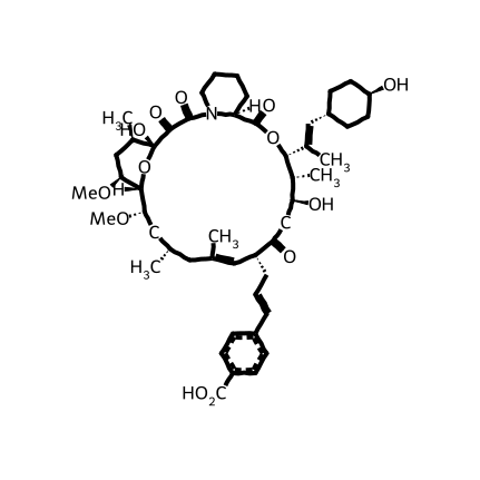 CO[C@H]1C[C@@H](C)C/C(C)=C/[C@@H](C/C=C/c2ccc(C(=O)O)cc2)C(=O)C[C@H](O)[C@@H](C)[C@@H](/C(C)=C/[C@H]2CC[C@H](O)CC2)OC(=O)[C@@H]2CCCCN2C(=O)C(=O)[C@]2(O)O[C@H]1[C@@H](OC)C[C@H]2C